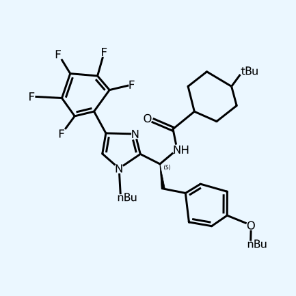 CCCCOc1ccc(C[C@H](NC(=O)C2CCC(C(C)(C)C)CC2)c2nc(-c3c(F)c(F)c(F)c(F)c3F)cn2CCCC)cc1